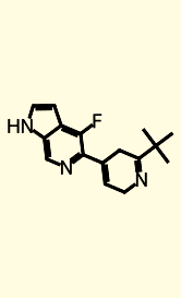 CC(C)(C)C1=NCC=C(c2ncc3[nH]ccc3c2F)C1